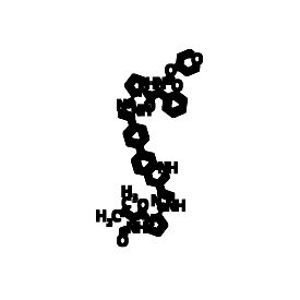 CC(C)[C@H](NC=O)C(=O)N1CCC[C@H]1c1nc(C2CNc3cc(-c4ccc(-c5cnc([C@@H]6CCCN6C(=O)[C@H](NC(=O)OC6CCOCC6)c6ccccc6)[nH]5)cc4)ccc3C2)c[nH]1